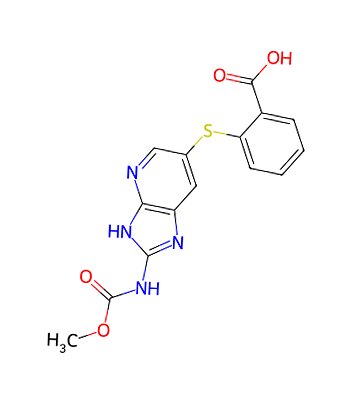 COC(=O)Nc1nc2cc(Sc3ccccc3C(=O)O)cnc2[nH]1